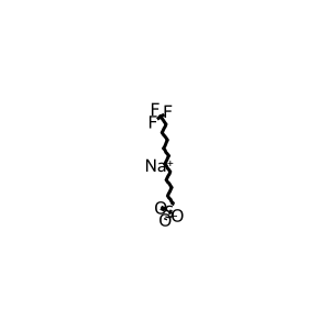 O=S(=O)([O-])CCCCCCCCCCCC(F)(F)F.[Na+]